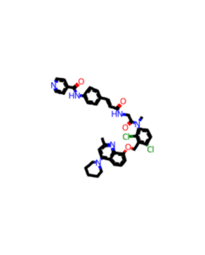 Cc1cc(N2CCCCC2)c2cccc(OCc3c(Cl)ccc(N(C)C(=O)CNC(=O)C=Cc4ccc(NC(=O)c5ccncc5)cc4)c3Cl)c2n1